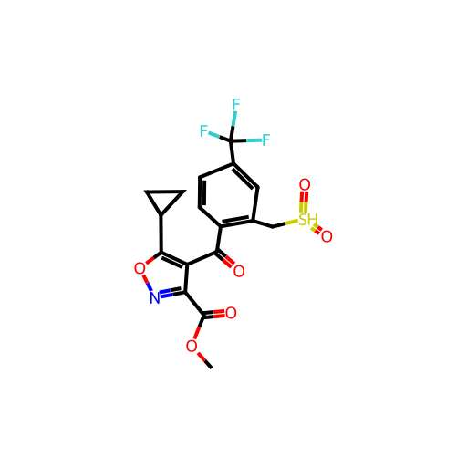 COC(=O)c1noc(C2CC2)c1C(=O)c1ccc(C(F)(F)F)cc1C[SH](=O)=O